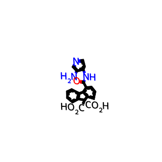 Nc1cnccc1NC(=O)c1cccc2c1-c1ccccc1C2(C(=O)O)C(=O)O